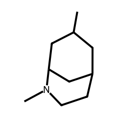 CC1CC2CCN(C)C(C1)C2